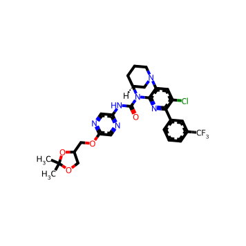 CC1(C)OCC(COc2cnc(NC(=O)N3c4nc(-c5cccc(C(F)(F)F)c5)c(Cl)cc4N4CCC[C@H]3C4)cn2)O1